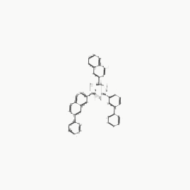 c1ccc(-c2cccc(-c3nc(-c4ccc5ccccc5c4)nc(-c4ccc5ccc(-c6ccccc6)cc5c4)n3)c2)cc1